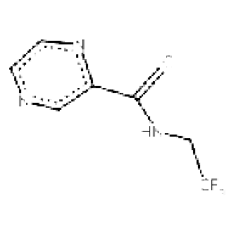 O=C(NCC(F)(F)F)c1cnccn1